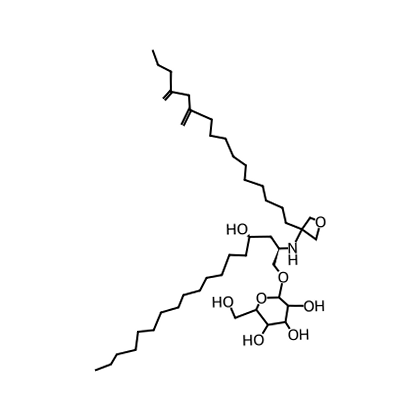 C=C(CCC)CC(=C)CCCCCCCCCCC1(N[C@@H](COC2OC(CO)C(O)C(O)C2O)C[C@H](O)CCCCCCCCCCCCCC)COC1